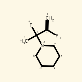 C=C(F)C(C)(F)N1CCCCC1